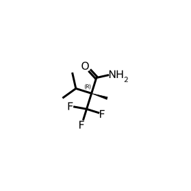 CC(C)[C@](C)(C(N)=O)C(F)(F)F